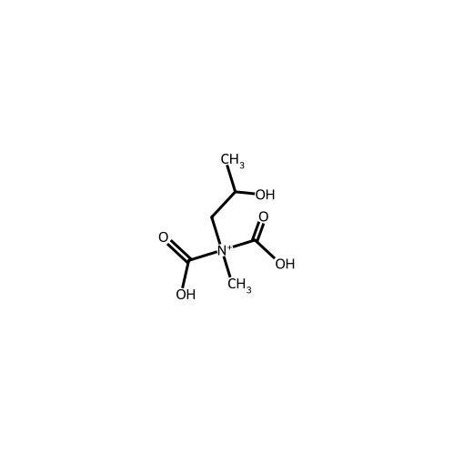 CC(O)C[N+](C)(C(=O)O)C(=O)O